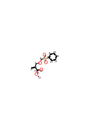 C=C(COCS(=O)(=O)c1ccccc1)C(=O)OC